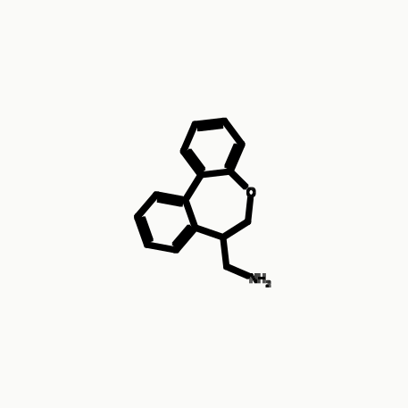 NCC1COc2ccccc2-c2ccccc21